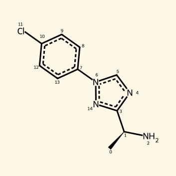 C[C@H](N)c1ncn(-c2ccc(Cl)cc2)n1